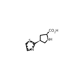 O=C(O)[C@@H]1C[C@H](c2nccs2)CN1